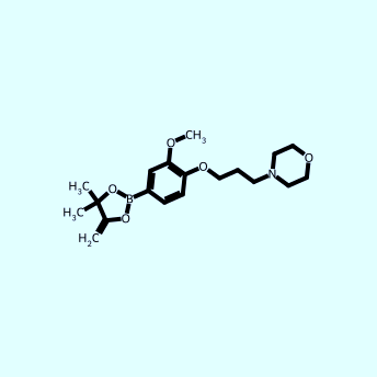 C=C1OB(c2ccc(OCCCN3CCOCC3)c(OC)c2)OC1(C)C